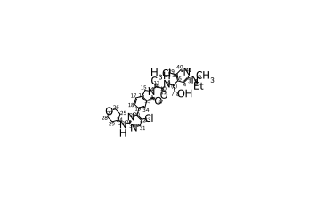 CCN(C)c1cc([C@@H](CO)NC(=O)[C@@H](C)N2Cc3ccc(-c4nc(NC5CCOCC5)ncc4Cl)cc3C2=O)c(Cl)cn1